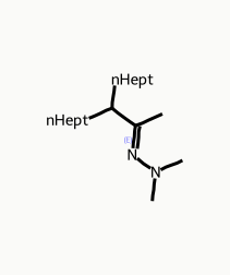 CCCCCCCC(CCCCCCC)/C(C)=N/N(C)C